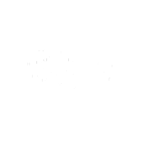 CCC(CC)(CCCC(F)(F)F)OC(=O)C(C)(CC(C)(C)C)C(C)(C)C